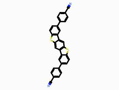 N#Cc1ccc(-c2ccc3sc4cc5c(cc4c3c2)sc2ccc(-c3ccc(C#N)cc3)cc25)cc1